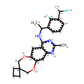 Cc1nc(NC(C)c2cccc(C(F)F)c2F)c2cc3c(cc2n1)OCC1(CCC1)CO3